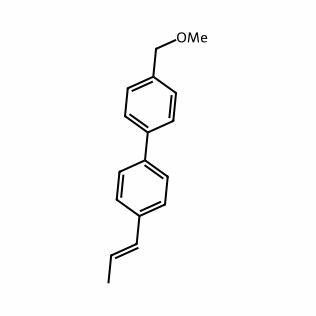 CC=Cc1ccc(-c2ccc(COC)cc2)cc1